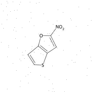 O=[N+]([O-])c1cc2sccc2o1